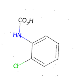 O=C(O)Nc1ccccc1Cl